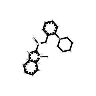 Cn1c([S+]([O-])Cc2ccccc2N2CCCCC2)nc2ccccc21